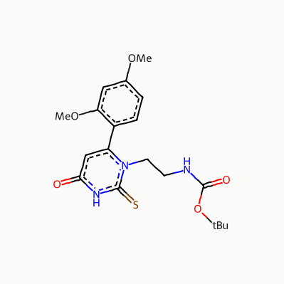 COc1ccc(-c2cc(=O)[nH]c(=S)n2CCNC(=O)OC(C)(C)C)c(OC)c1